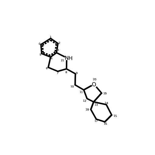 c1ccc2c(c1)CCC(CCC1CC3(CCCCC3)CO1)N2